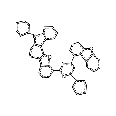 c1ccc(-c2cc(-c3cccc4oc5ccccc5c34)nc(-c3cccc4c3oc3c4ccc4c3c3ccccc3n4-c3ccccc3)n2)cc1